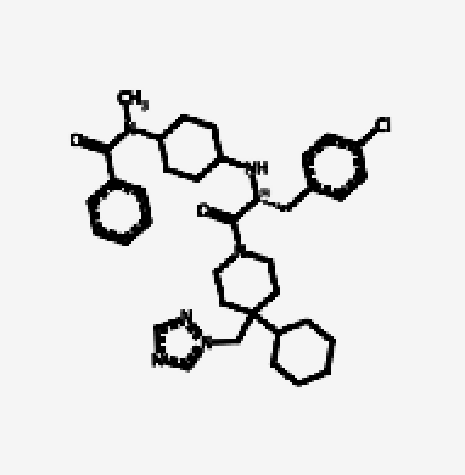 CN(C(=O)c1ccccc1)C1CCC(N[C@H](Cc2ccc(Cl)cc2)C(=O)N2CCC(Cn3cncn3)(C3CCCCC3)CC2)CC1